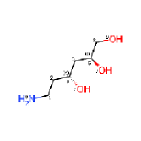 NCC[C@@H](O)C[C@H](O)CO